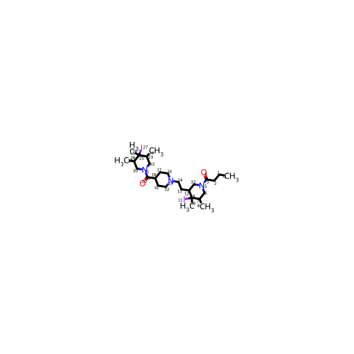 CCCC(=O)N1CC(C)C(C)(I)C(CCN2CCC(C(=O)N3CC(C)C(C)(I)C(C)C3)CC2)C1